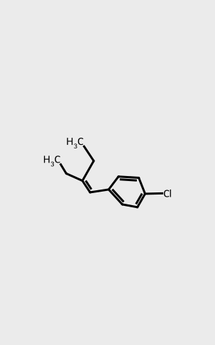 CCC(=Cc1ccc(Cl)cc1)CC